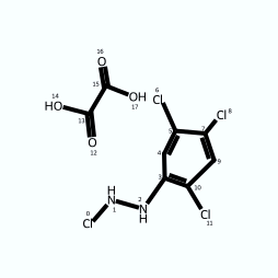 ClNNc1cc(Cl)c(Cl)cc1Cl.O=C(O)C(=O)O